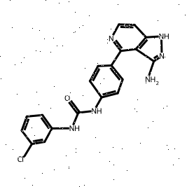 Nc1n[nH]c2ccnc(-c3ccc(NC(=O)Nc4cccc(Cl)c4)cc3)c12